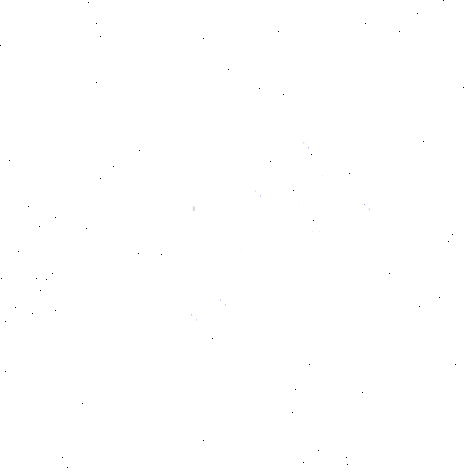 Cc1cccc(Cc2nnc(C(=O)[C@@H](NC(=O)[C@@H]3CCCN3C(=O)[C@@H](NC(=O)OCc3ccccc3)C(C)C)C(C)C)o2)c1